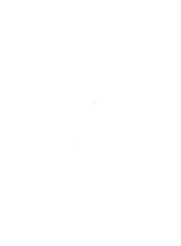 Cc1ccccc1COCC(N)c1ccccc1